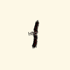 O=C(CC(SCCO)C(=O)OC(F)(F)C(F)(F)C(F)(F)C(F)(F)C(F)(F)C(F)(F)C(F)(F)C(F)(F)C(F)(F)C(F)(F)F)OC(F)(F)C(F)(F)C(F)(F)C(F)(F)C(F)(F)C(F)(F)C(F)(F)C(F)(F)C(F)(F)C(F)(F)F